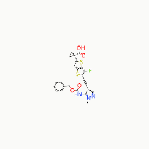 Cn1ncc(C#Cc2sc3cc(C4(C(=O)O)CC4)sc3c2F)c1NC(=O)OCc1ccccc1